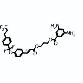 Nc1cc(N)cc(C(=O)OCCCOC(=O)/C=C/c2ccc(OC(F)(F)c3ccc(CCC(F)(F)F)cc3)cc2)c1